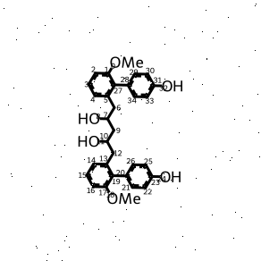 COc1cccc(CC(O)CC(O)Cc2cccc(OC)c2-c2ccc(O)cc2)c1-c1ccc(O)cc1